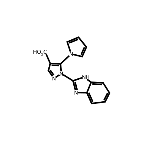 O=C(O)c1cnn(-c2nc3ccccc3[nH]2)c1-n1cccc1